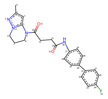 Cc1cc2n(n1)CCCN2C(=O)CCC(=O)Nc1ccc(-c2ccc(F)cc2)cc1